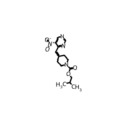 CC(C)COC(=O)N1CCC(=Cc2ncncc2[N+](=O)[O-])CC1